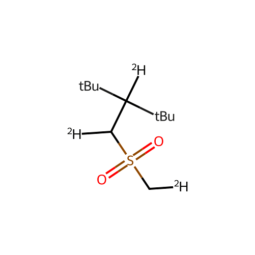 [2H]CS(=O)(=O)C([2H])C([2H])(C(C)(C)C)C(C)(C)C